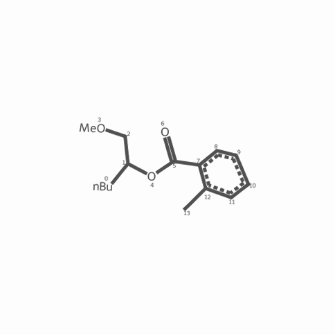 CCCCC(COC)OC(=O)c1ccccc1C